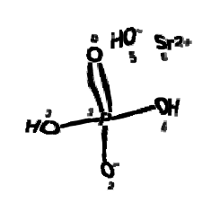 O=P([O-])(O)O.[OH-].[Sr+2]